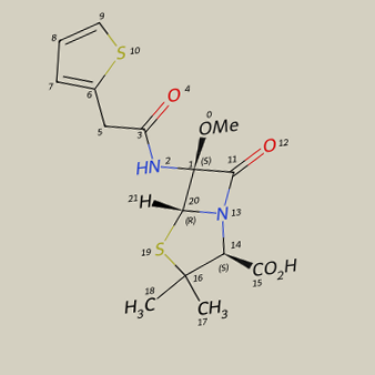 CO[C@@]1(NC(=O)Cc2cccs2)C(=O)N2[C@@H](C(=O)O)C(C)(C)S[C@@H]21